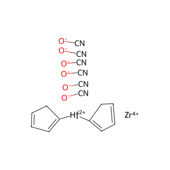 C1=CC[C]([Hf+2][C]2=CC=CC2)=C1.N#C[O-].N#C[O-].N#C[O-].N#C[O-].N#C[O-].N#C[O-].[Zr+4]